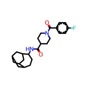 O=C(NC1CCC2CC3CC2CC1C3)C1CCN(C(=O)c2ccc(F)cc2)CC1